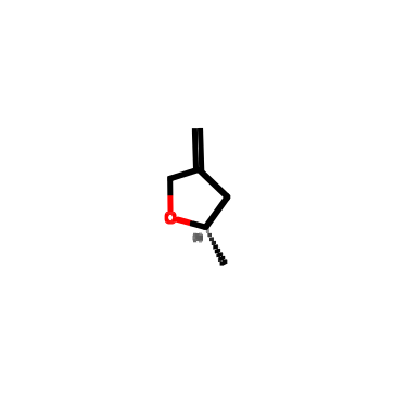 C=C1CO[C@@H](C)C1